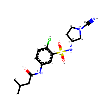 CC(C)CC(=O)Nc1ccc(Cl)c(S(=O)(=O)N[C@@H]2CCN(C#N)C2)c1